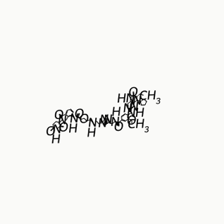 CC[C@@H]1C(=O)Nc2cnc(Nc3ccc(C(=O)NCc4cn(CCNCCOCC(=O)Nc5cccc6c5CN(C5CCC(=O)NC5=O)C6=O)nn4)cc3OC)nc2N1C1CCCC1